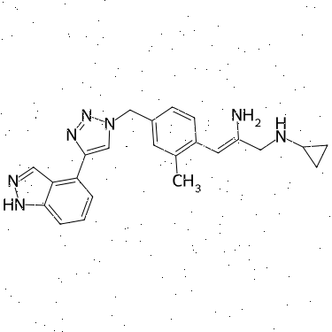 Cc1cc(Cn2cc(-c3cccc4[nH]ncc34)nn2)ccc1/C=C(\N)CNC1CC1